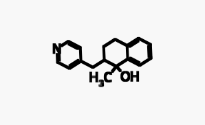 CC1(O)c2ccccc2CCC1Cc1ccncc1